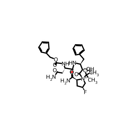 CC(C)(C)[N+]1(C(=O)[C@@H](O)[C@H](Cc2ccccc2)NC(=O)[C@H](CC(N)=O)NC(=O)OCc2ccccc2)C[C@@H](F)C[C@H]1C(N)=O